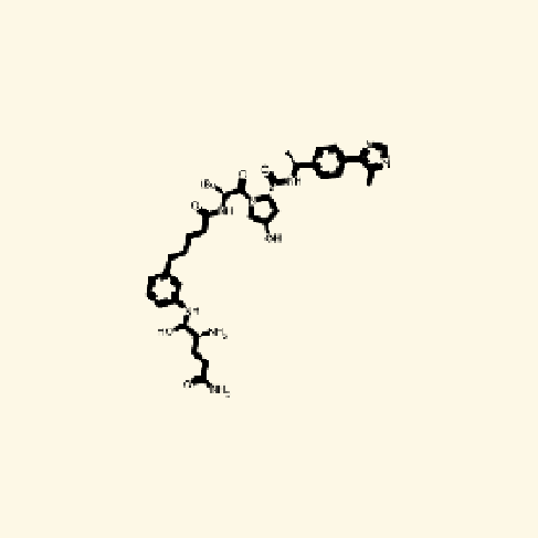 Cc1ncsc1-c1ccc([C@H](C)NC(=O)[C@@H]2C[C@@H](O)CN2C(=O)[C@@H](NC(=O)CCCCc2cccc(NC(O)[C@@H](N)CCC(N)=O)c2)C(C)(C)C)cc1